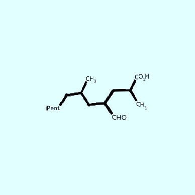 CCCC(C)CC(C)CC(C=O)CC(C)C(=O)O